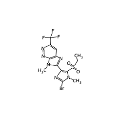 CCS(=O)(=O)c1c(-c2nc3cc(C(F)(F)F)nnc3n2C)nc(Br)n1C